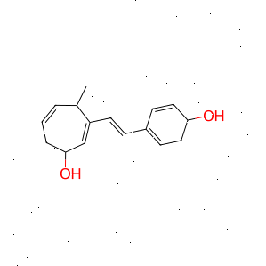 CC1C=CCC(O)C=C1/C=C/C1=CCC(O)C=C1